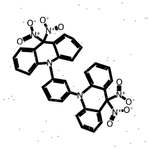 O=[N+]([O-])C1([N+](=O)[O-])c2ccccc2N(c2cccc(N3c4ccccc4C([N+](=O)[O-])([N+](=O)[O-])c4ccccc43)c2)c2ccccc21